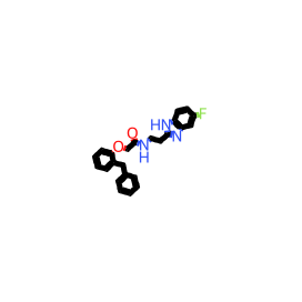 O=C(COc1ccccc1Cc1ccccc1)NCCc1nc2cc(F)ccc2[nH]1